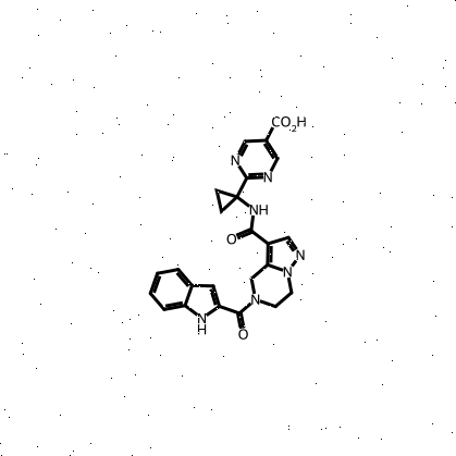 O=C(O)c1cnc(C2(NC(=O)c3cnn4c3CN(C(=O)c3cc5ccccc5[nH]3)CC4)CC2)nc1